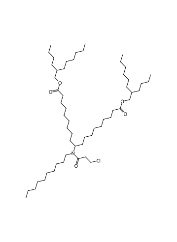 CCCCCCCCCCN(C(=O)CCCl)C(CCCCCCCCC(=O)OCC(CCCC)CCCCCC)CCCCCCCCC(=O)OCC(CCCC)CCCCCC